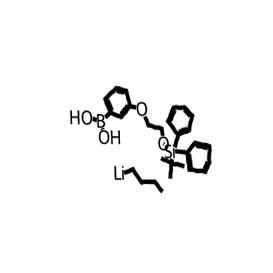 CC(C)(C)[Si](OCCOc1cccc(B(O)O)c1)(c1ccccc1)c1ccccc1.[Li][CH2]CCC